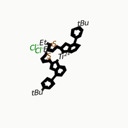 CCc1ccc(C2=Cc3c(-c4ccc(C(C)(C)C)cc4)cccc3[CH]2[Ti+2][CH]2C(c3ccc(CC)s3)=Cc3c(-c4ccc(C(C)(C)C)cc4)cccc32)s1.[Cl-].[Cl-]